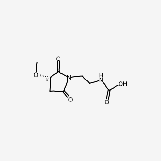 CO[C@H]1CC(=O)N(CCNC(=O)O)C1=O